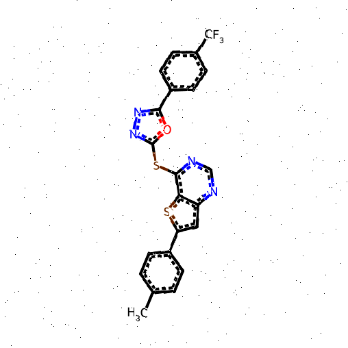 Cc1ccc(-c2cc3ncnc(Sc4nnc(-c5ccc(C(F)(F)F)cc5)o4)c3s2)cc1